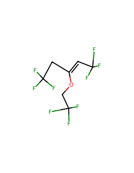 FC(F)(F)C=C(CC(F)(F)F)OCC(F)(F)F